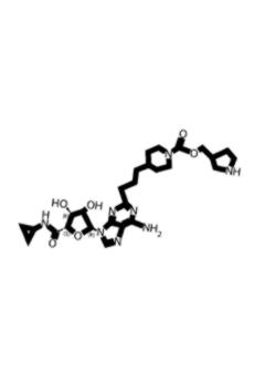 Nc1nc(CCCC2CCN(C(=O)OCC3CCNC3)CC2)nc2c1ncn2[C@@H]1O[C@H](C(=O)NC2CC2)[C@H](O)C1O